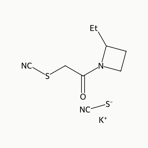 CCC1CCN1C(=O)CSC#N.N#C[S-].[K+]